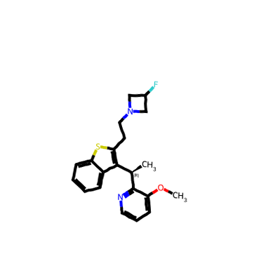 COc1cccnc1[C@H](C)c1c(CCN2CC(F)C2)sc2ccccc12